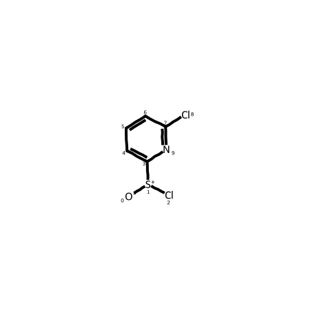 [O-][S+](Cl)c1cccc(Cl)n1